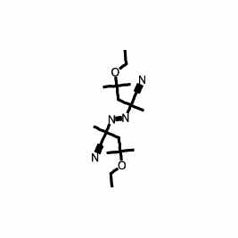 CCOC(C)(C)CC(C)(C#N)/N=N/C(C)(C#N)CC(C)(C)OCC